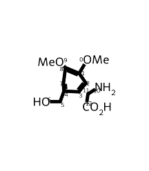 COc1ccc(CO)cc1OC.NCC(=O)O